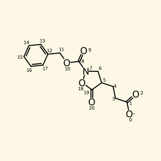 [O]C(=O)CCC1CN(C(=O)OCc2ccccc2)OC1=O